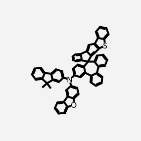 CC1(C)c2ccccc2-c2ccc(N(c3ccc4c(c3)-c3ccccc3-c3ccccc3C43c4ccccc4-c4cc5c(cc43)sc3ccccc35)c3ccc4oc5ccccc5c4c3)cc21